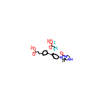 O=C(O)C(F)(F)F.O=C(O)CCc1ccc(-c2ccc(N3C[C@@H]4CNCCN4C3=O)cc2)cc1